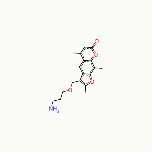 Cc1oc2c(C)c3oc(=O)cc(C)c3cc2c1COCCCN